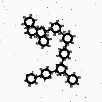 c1ccc(-c2ccc(-c3nc(-c4ccccc4)nc(-c4ccc(-c5cccc(-c6cccc(-c7nc8c9ccccc9ccc8c8ccccc78)c6)c5)cc4)n3)cc2)cc1